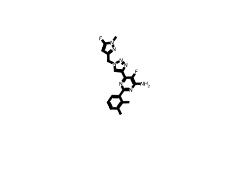 Cc1cccc(-c2nc(N)c(F)c(-c3cn(Cc4cc(F)n(C)n4)nn3)n2)c1C